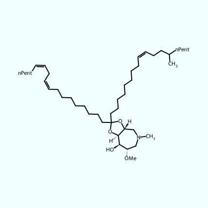 CCCCC/C=C\C/C=C\CCCCCCCCC1(CCCCCCCC/C=C\CCC(C)CCCCC)O[C@@H]2[C@H](O)[C@@H](OC)CN(C)C[C@H]2O1